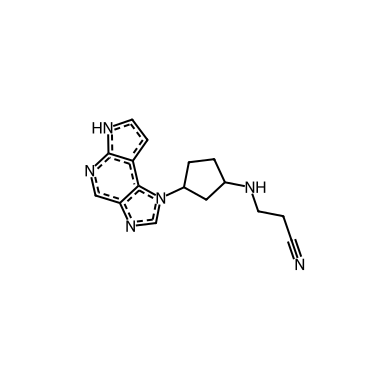 N#CCCNC1CCC(n2cnc3cnc4[nH]ccc4c32)C1